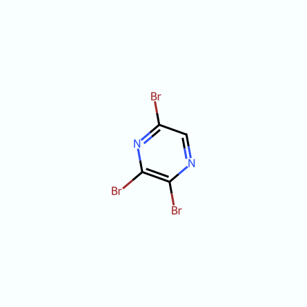 Brc1cnc(Br)c(Br)n1